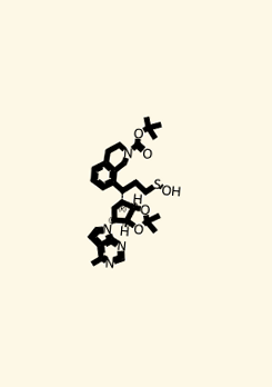 Cc1ncnc2c1ccn2[C@@H]1C[C@H](C(CCSO)c2cccc3c2CN(C(=O)OC(C)(C)C)CC3)[C@H]2OC(C)(C)O[C@H]21